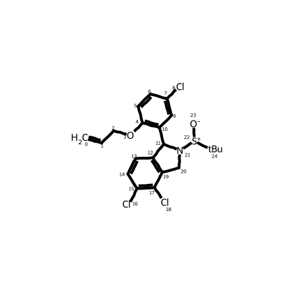 C=CCOc1ccc(Cl)cc1C1c2ccc(Cl)c(Cl)c2CN1[S+]([O-])C(C)(C)C